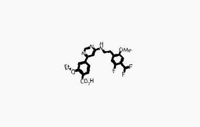 CCOc1cc(-c2cc(NCCc3cc(F)c(C(F)F)cc3OC)ncn2)ccc1C(=O)O